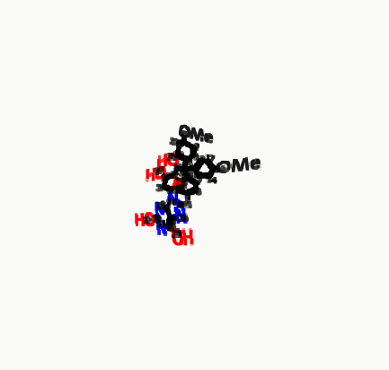 COc1ccc(C(c2ccccc2)(c2ccc(OC)cc2)C(O)[C@H]2O[C@@H](n3cnc4c(O)nc(O)nc43)C[C@@H]2O)cc1